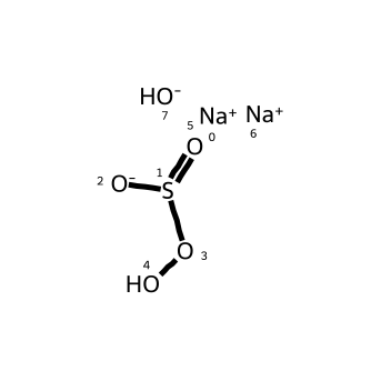 O=S([O-])OO.[Na+].[Na+].[OH-]